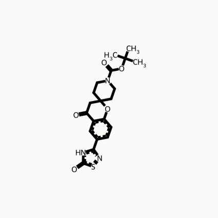 CC(C)(C)OC(=O)N1CCC2(CC1)CC(=O)c1cc(-c3nsc(=O)[nH]3)ccc1O2